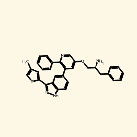 Cc1csc(-c2n[nH]c3ccc(-c4cc(OC[C@@H](N)Cc5ccccc5)cnc4-c4ccccc4)cc23)c1